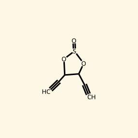 C#CC1OS(=O)OC1C#C